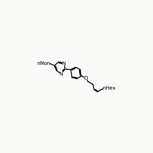 CCCCCC/C=C\CCOc1ccc(-c2ncc(CCCCCCCCC)cn2)cc1